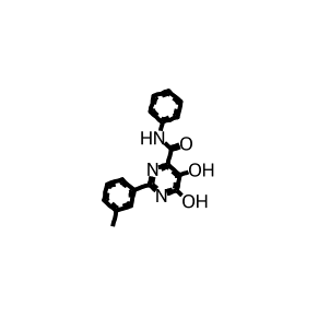 Cc1cccc(-c2nc(O)c(O)c(C(=O)Nc3ccccc3)n2)c1